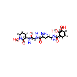 N[C@H](CCCNC(=O)c1cccc(O)c1O)C(=O)NCC(=O)N[C@H]1CCCN(O)C1=O